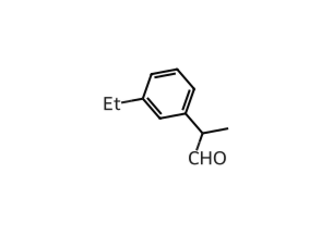 CCc1cccc(C(C)C=O)c1